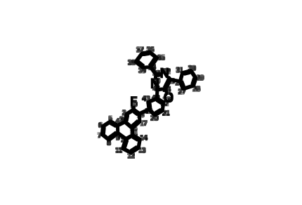 Fc1cc2c3ccccc3c3ccccc3c2cc1-c1ccc2oc3c(-c4ccccc4)nc(-c4ccccc4)nc3c2c1